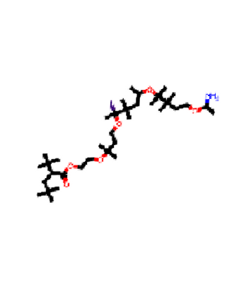 CC(N)OCCC(C)(C)C(C)(C)OC(C)CC(C)(C)C(C)(I)OCCC(C)(C)OCCOC(=O)C(CC(C)(C)C)C(C)(C)C